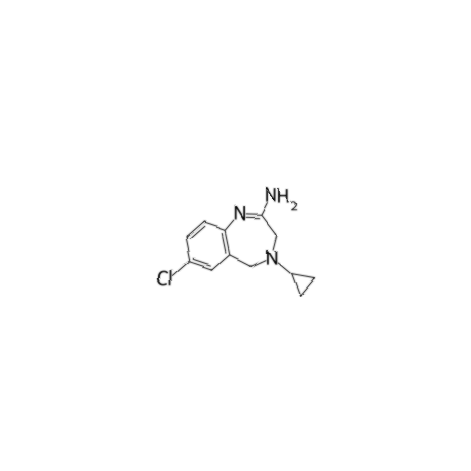 NC1=Nc2ccc(Cl)cc2CN(C2CC2)C1